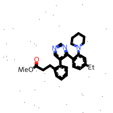 CCc1ccc(-c2ncncc2-c2ccccc2CCC(=O)OC)c(N2CCCCC2)c1